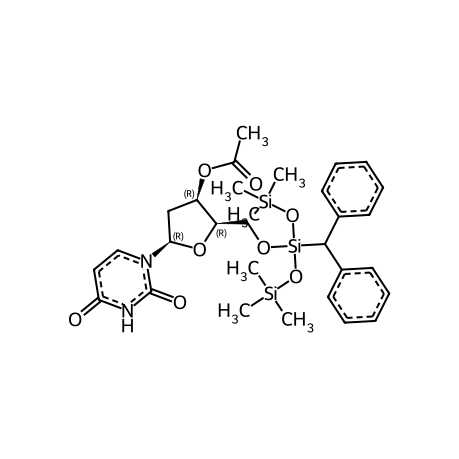 CC(=O)O[C@@H]1C[C@H](n2ccc(=O)[nH]c2=O)O[C@@H]1CO[Si](O[Si](C)(C)C)(O[Si](C)(C)C)C(c1ccccc1)c1ccccc1